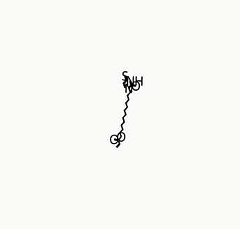 C=CC(=O)OCCCCCCCCCCCCn1ccc(=S)[nH]c1=O